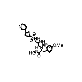 COc1ccc(C[C@@H](C(=O)NO)N(N)/C=C(\N)CNS(=O)(=O)c2ccc(-c3cccnc3)s2)cc1